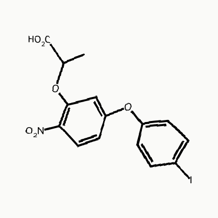 CC(Oc1cc(Oc2ccc(I)cc2)ccc1[N+](=O)[O-])C(=O)O